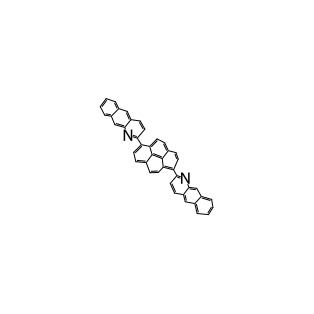 c1ccc2cc3nc(-c4ccc5ccc6c(-c7ccc8cc9ccccc9cc8n7)ccc7ccc4c5c76)ccc3cc2c1